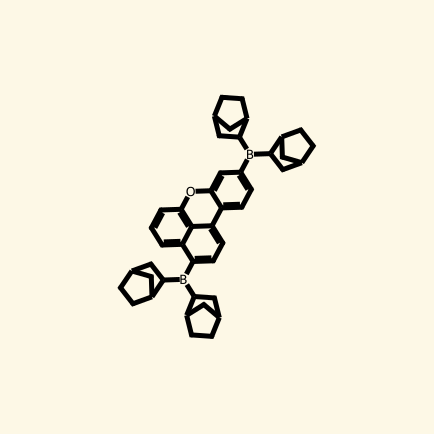 c1cc2c3c(ccc(B(C4CC5CCC4C5)C4CC5CCC4C5)c3c1)-c1ccc(B(C3CC4CCC3C4)C3CC4CCC3C4)cc1O2